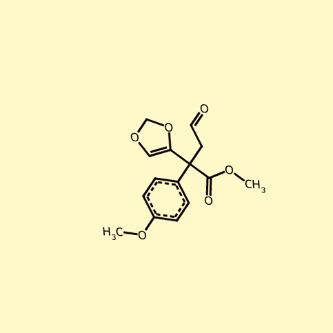 COC(=O)C(CC=O)(C1=COCO1)c1ccc(OC)cc1